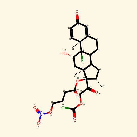 C[C@H]1CC2C3CCC4=CC(=O)C=C[C@]4(C)[C@@]3(F)[C@@H](O)C[C@]2(C)[C@@]1(OC(=O)CCCO[N+](=O)[O-])C(=O)COC(=O)Cl